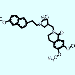 COc1ccc2cc(CCN3CCC(CN4CCc5cc(OC)c(OC)cc5C4=O)C3)ccc2c1.Cl